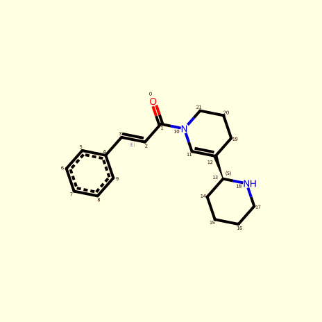 O=C(/C=C/c1ccccc1)N1C=C([C@@H]2CCCCN2)CCC1